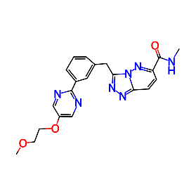 CNC(=O)c1ccc2nnc(Cc3cccc(-c4ncc(OCCOC)cn4)c3)n2n1